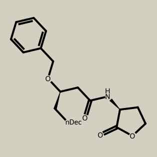 CCCCCCCCCCC[C@H](CC(=O)N[C@H]1CCOC1=O)OCc1ccccc1